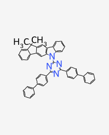 CC1(C)c2ccccc2-c2cc3c(cc21)c1ccccc1n3-c1nc(-c2ccc(-c3ccccc3)cc2)nc(-c2ccc(-c3ccccc3)cc2)n1